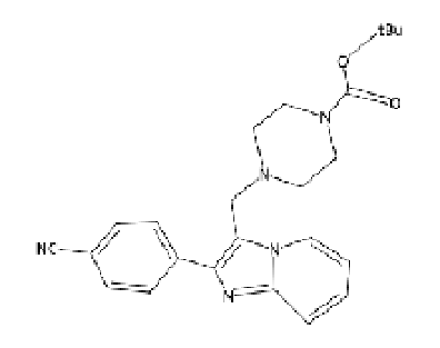 CC(C)(C)OC(=O)N1CCN(Cc2c(-c3ccc(C#N)cc3)nc3ccccn23)CC1